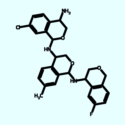 Cc1ccc2c(c1)C(NC1COCc3ccc(F)cc31)OCC2NC1OCC(N)c2ccc(Cl)cc21